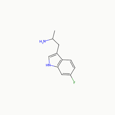 CC(N)Cc1c[nH]c2cc(F)ccc12